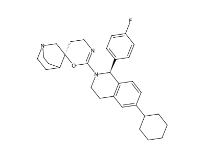 Fc1ccc([C@H]2c3ccc(C4CCCCC4)cc3CCN2C2=NCC[C@]3(CN4CCC3CC4)O2)cc1